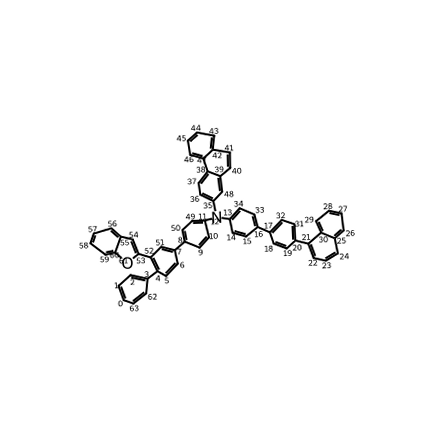 c1ccc(-c2ccc(-c3ccc(N(c4ccc(-c5ccc(-c6cccc7ccccc67)cc5)cc4)c4ccc5c(ccc6ccccc65)c4)cc3)cc2-c2cc3ccccc3o2)cc1